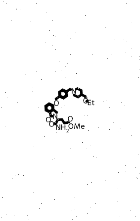 CCOCC1CCN(Cc2ccc(COc3cccc4c3CN(C(CCC(=O)OC)C(N)=O)C4=O)cc2)CC1